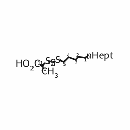 CCCCCCCCCCCCSSSC(C)C(=O)O